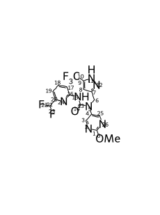 COc1ncc(N(Cc2cc(C(F)(F)F)[nH]n2)C(=O)Nc2cccc(C(F)F)n2)cn1